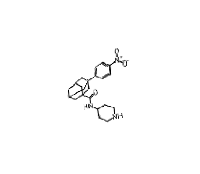 O=C(NC1CCNCC1)C12CC3CC(C1)CC(c1ccc([N+](=O)[O-])cc1)(C3)C2